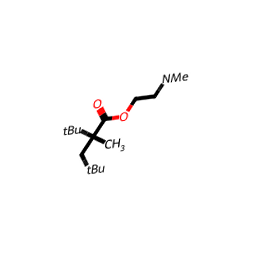 CNCCOC(=O)C(C)(CC(C)(C)C)C(C)(C)C